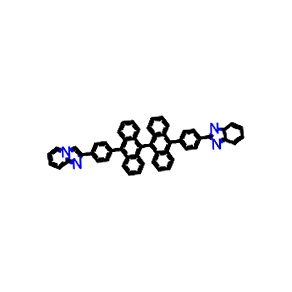 C1=CC2=NC(c3ccc(-c4c5ccccc5c(-c5c6ccccc6c(-c6ccc(-c7cn8ccccc8n7)cc6)c6ccccc56)c5ccccc45)cc3)=NC2C=C1